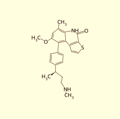 CNCC[C@@H](C)c1ccc(-c2c(OC)cc(C)c3[nH]c(=O)c4sccc4c23)cc1